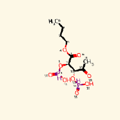 CCCCOC(=O)[C@H](O[PH](=O)O)[C@@H](O[PH](=O)O)C(C)=O